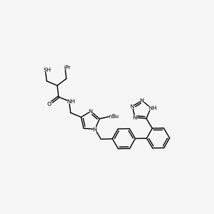 CCCCc1nc(CNC(=O)C(CS)CC(C)C)cn1Cc1ccc(-c2ccccc2-c2nnn[nH]2)cc1